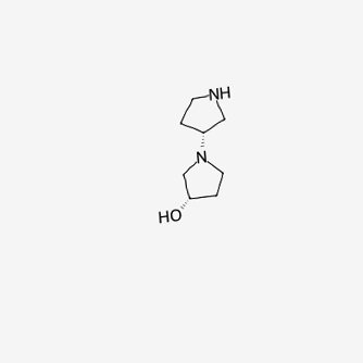 O[C@H]1CCN([C@@H]2CCNC2)C1